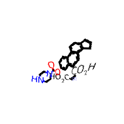 O=C(O)/C=C\C(=O)O.O=C(Oc1ccc2c(ccc3c4c(ccc32)C=CC4)c1)N1CCNCC1